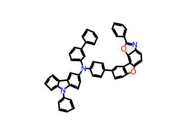 c1ccc(-c2cccc(N(c3ccc(-c4ccc5oc6ccc7nc(-c8ccccc8)oc7c6c5c4)cc3)c3ccc4c(c3)c3ccccc3n4-c3ccccc3)c2)cc1